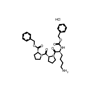 Cl.NCCCC[C@H](NC(=O)OCc1ccccc1)C(=O)N1CCC[C@H]1C(=O)N1CCC[C@H]1C(=O)OCc1ccccc1